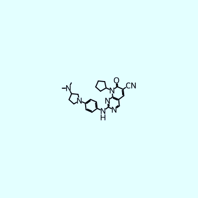 CN(C)C1CCN(c2ccc(Nc3ncc4cc(C#N)c(=O)n(C5CCCC5)c4n3)cc2)C1